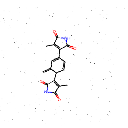 C=C1C=C(C2=C(C)C(=O)NC2=O)C=CC1C1=C(C)C(=O)NC1=O